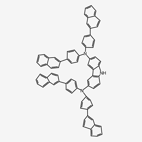 c1ccc2cc(-c3ccc(N(c4ccc(-c5ccc6ccccc6c5)cc4)c4ccc5[nH]c6ccc(N(c7ccc(-c8ccc9ccccc9c8)cc7)c7ccc(-c8ccc9ccccc9c8)cc7)cc6c5c4)cc3)ccc2c1